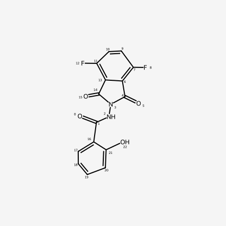 O=C(NN1C(=O)c2c(F)ccc(F)c2C1=O)c1ccccc1O